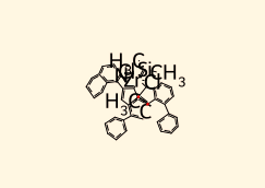 CC1=Cc2c(-c3ccccc3)cccc2[CH]1[Zr]([Cl])([Cl])([CH]1C(c2nccc3ccccc23)=Cc2c(-c3ccccc3)cccc21)=[Si](C)C